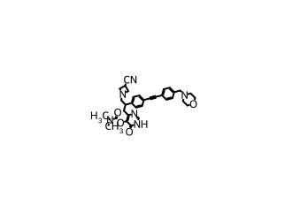 CN(C)C(=O)Oc1c(CC(CN2CC(C#N)C2)c2ccc(C#Cc3ccc(CN4CCOCC4)cc3)cc2)nc[nH]c1=O